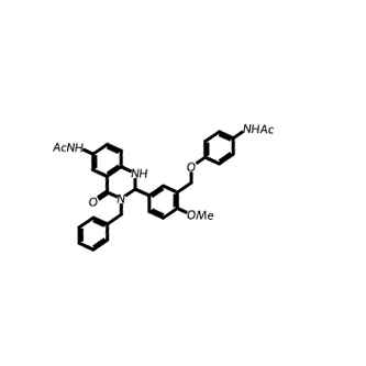 COc1ccc(C2Nc3ccc(NC(C)=O)cc3C(=O)N2Cc2ccccc2)cc1COc1ccc(NC(C)=O)cc1